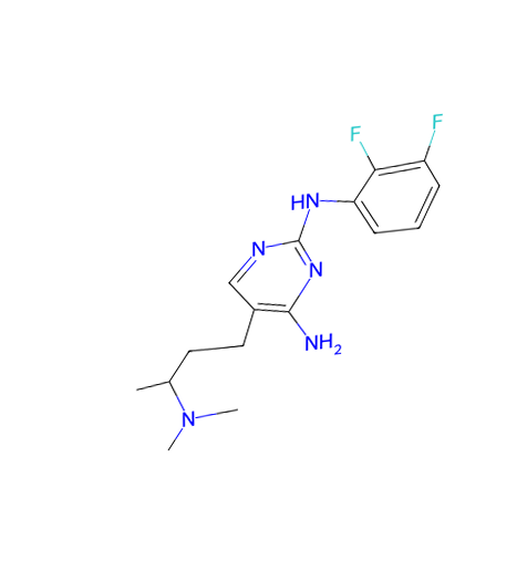 CC(CCc1cnc(Nc2cccc(F)c2F)nc1N)N(C)C